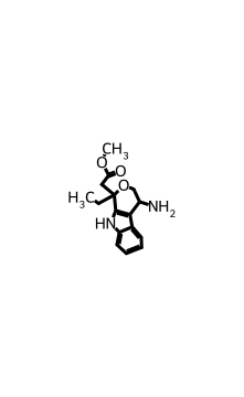 CCC1(CC(=O)OC)OCC(N)c2c1[nH]c1ccccc21